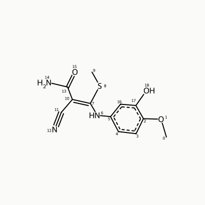 COc1ccc(N/C(SC)=C(\C#N)C(N)=O)cc1O